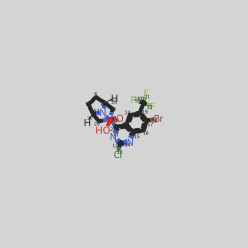 O=C(O)N1[C@@H]2CC[C@H]1CN(c1nc(Cl)nc3cc(Br)c(C(F)(F)F)cc13)C2